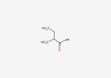 CCCC(=O)C(CC(=O)O)C(=O)O